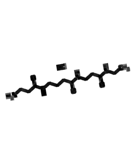 CCNC(=O)CCNC(=O)CCCNC(=O)CCN.Cl